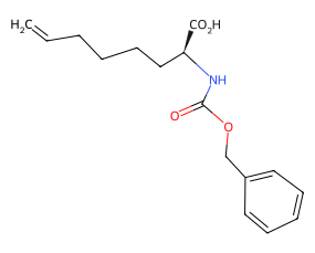 C=CCCCC[C@H](NC(=O)OCc1ccccc1)C(=O)O